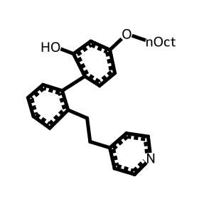 CCCCCCCCOc1ccc(-c2ccccc2CCc2ccncc2)c(O)c1